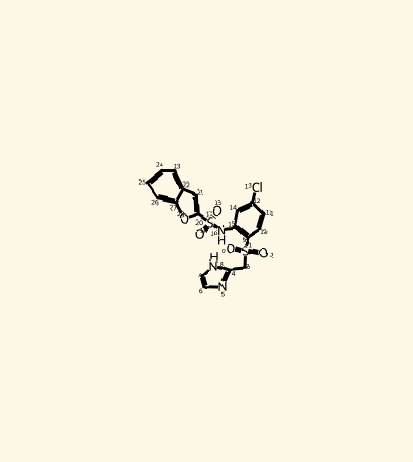 O=S(=O)(Cc1ncc[nH]1)c1ccc(Cl)cc1NS(=O)(=O)c1cc2ccccc2o1